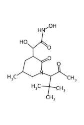 CC(=O)C(N1CC(C)CC(C(O)C(=O)NO)C1=O)C(C)(C)C